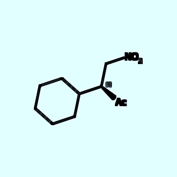 CC(=O)[C@H](C[N+](=O)[O-])C1CCCCC1